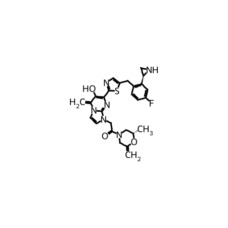 C=C1CN(C(=O)CN2C=CN3C(=C)C(O)=C(c4ncc(Cc5ccc(F)cc5[C@H]5CN5)s4)N=C23)C[C@H](C)O1